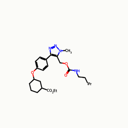 CCOC(=O)C1CCCC(Oc2ccc(-c3nnn(C)c3COC(=O)NCCC(C)C)cc2)C1